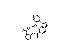 COC(=O)N1CCCC1CNc1ccc2ncc(-c3ccncc3OC)n2n1